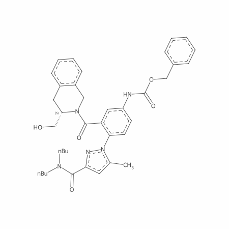 CCCCN(CCCC)C(=O)c1cc(C)n(-c2ccc(NC(=O)OCc3ccccc3)cc2C(=O)N2Cc3ccccc3C[C@H]2CO)n1